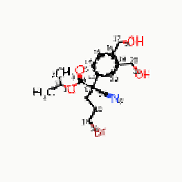 CC(C)OC(=O)C(C#N)(CCCBr)c1ccc(CO)c(CO)c1